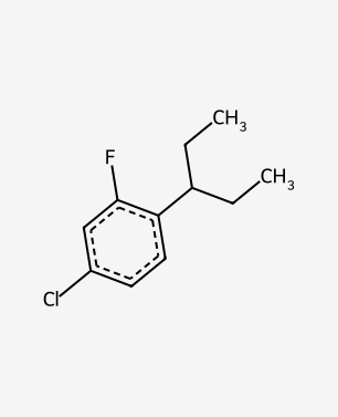 CCC(CC)c1ccc(Cl)cc1F